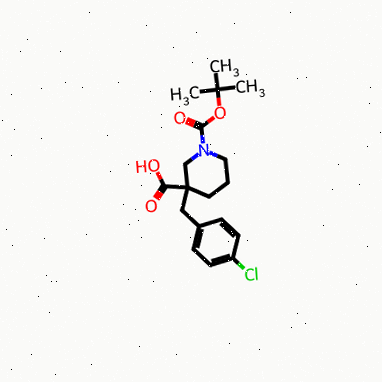 CC(C)(C)OC(=O)N1CCCC(Cc2ccc(Cl)cc2)(C(=O)O)C1